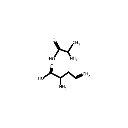 C=CCC(N)C(=O)O.CC(N)C(=O)O